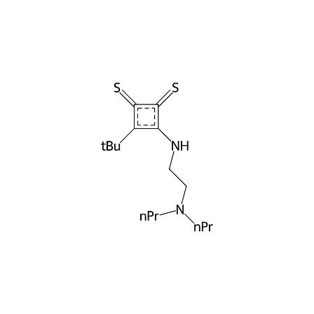 CCCN(CCC)CCNc1c(C(C)(C)C)c(=S)c1=S